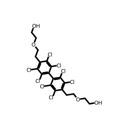 OCCOCCc1c(Cl)c(Cl)c(-c2c(Cl)c(Cl)c(CCOCCO)c(Cl)c2Cl)c(Cl)c1Cl